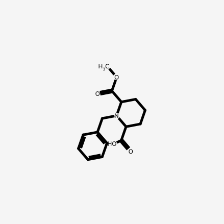 COC(=O)C1CCCC(C(=O)O)N1Cc1ccccc1